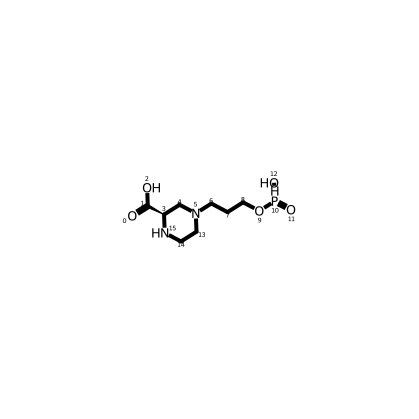 O=C(O)[C@H]1CN(CCCO[PH](=O)O)CCN1